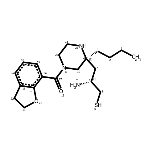 CCCC[C@]1(C[C@@H](N)CS)CN(C(=O)c2cccc3c2OCC3)CCN1